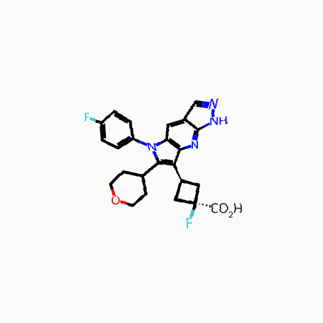 O=C(O)[C@]1(F)C[C@@H](c2c(C3CCOCC3)n(-c3ccc(F)cc3)c3cc4cn[nH]c4nc32)C1